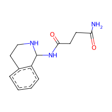 NC(=O)CCC(=O)NC1NCCc2ccccc21